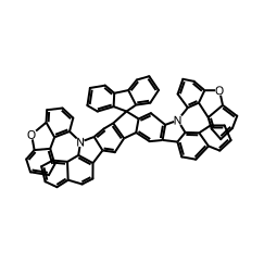 c1ccc2c(c1)-c1ccccc1C21c2cc3c(cc2-c2cc4c5ccc6ccccc6c5n(-c5cccc6oc7ccccc7c56)c4cc21)c1ccc2ccccc2c1n3-c1cccc2oc3ccccc3c12